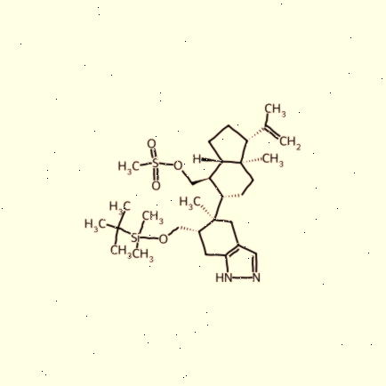 C=C(C)[C@H]1CC[C@H]2[C@H](COS(C)(=O)=O)[C@@H]([C@@]3(C)Cc4cn[nH]c4C[C@@H]3CO[Si](C)(C)C(C)(C)C)CC[C@]12C